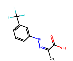 CC(=NNc1cccc(C(F)(F)F)c1)C(=O)O